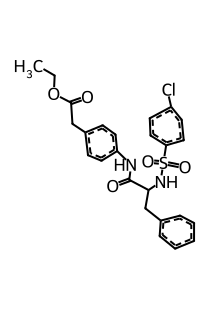 CCOC(=O)Cc1ccc(NC(=O)C(Cc2ccccc2)NS(=O)(=O)c2ccc(Cl)cc2)cc1